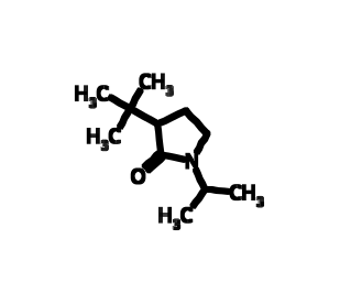 CC(C)N1CCC(C(C)(C)C)C1=O